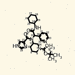 CC(C)(C)OC(=O)N1CCCC(N(C(=O)c2c[nH]cn2)C(C(=O)NC2CCCCC2)c2cccnc2)C1